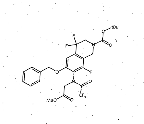 COC(=O)CN(C(=O)C(F)(F)F)c1c(OCc2ccccc2)cc2c(c1F)CN(C(=O)OC(C)(C)C)CC2(F)F